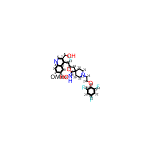 COc1ccc2ncc(CO)c([C@H](F)CCC3(C(=O)NO)CCN(CCOc4c(F)cc(F)cc4F)CC3)c2c1